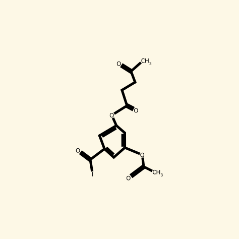 CC(=O)CCC(=O)Oc1cc(OC(C)=O)cc(C(=O)I)c1